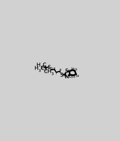 CC(C)(C)SCCCCSc1nc2ccccc2s1